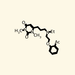 CCN(CCCc1cc(=O)n(C)c(=O)n1C)CCOc1ccccc1C(C)=O